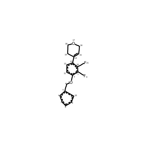 Fc1c(OCc2ccccc2)ccc(C2=CCOCC2)c1F